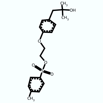 Cc1ccc(S(=O)(=O)OCCOc2ccc(CC(C)(C)O)cc2)cc1